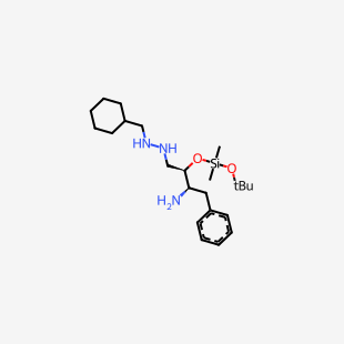 CC(C)(C)O[Si](C)(C)O[C@H](CNNCC1CCCCC1)[C@H](N)Cc1ccccc1